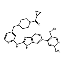 CCOc1cnc(C)cc1-c1ccc2nc(Nc3cc(CN4CCN(C(=O)C5CC5)CC4)ccn3)[nH]c2c1